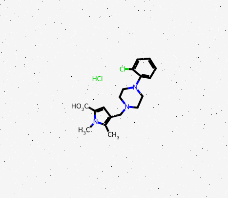 Cc1c(CN2CCN(c3ccccc3Cl)CC2)cc(C(=O)O)n1C.Cl